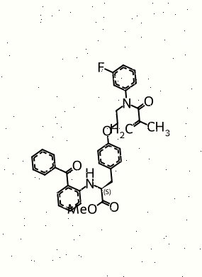 C=C(C)C(=O)N(CCOc1ccc(C[C@H](Nc2ccccc2C(=O)c2ccccc2)C(=O)OC)cc1)c1cccc(F)c1